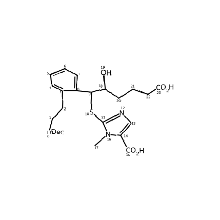 CCCCCCCCCCCCc1ccccc1C(Sc1ncc(C(=O)O)n1C)C(O)CCCC(=O)O